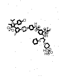 Cc1c(S(C)(=O)=O)c(-c2cc(F)cc(N3CCN(c4ccc(NS(=O)(=O)c5ccc(NC(CCN6CCC(OP(=O)(O)O)CC6)CSc6ccccc6)c(S(=O)(=O)C(F)(F)F)c5)cc4)CC3)c2)c(-c2ccc(Cl)cc2)n1C(C)C